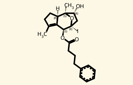 CC1=C2[C@@H](CC1)[C@]1(C)O[C@@](I)(C[C@H]1O)[C@H]2OC(=O)CCCc1ccccc1